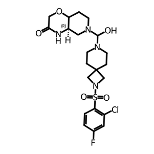 O=C1COC2CCN(C(O)N3CCC4(CC3)CN(S(=O)(=O)c3ccc(F)cc3Cl)C4)C[C@H]2N1